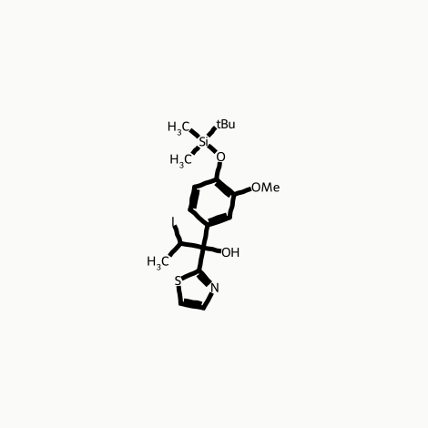 COc1cc(C(O)(c2nccs2)C(C)I)ccc1O[Si](C)(C)C(C)(C)C